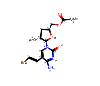 COC(=O)OC[C@@H]1C[C@@H](OC(C)=O)[C@H](n2cc(C=CBr)c(N)nc2=O)O1